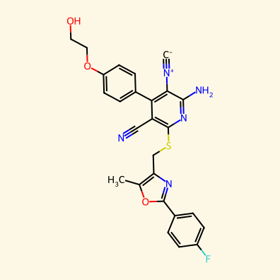 [C-]#[N+]c1c(N)nc(SCc2nc(-c3ccc(F)cc3)oc2C)c(C#N)c1-c1ccc(OCCO)cc1